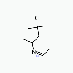 C/C=N\C(C)CC(C)(C)Cl